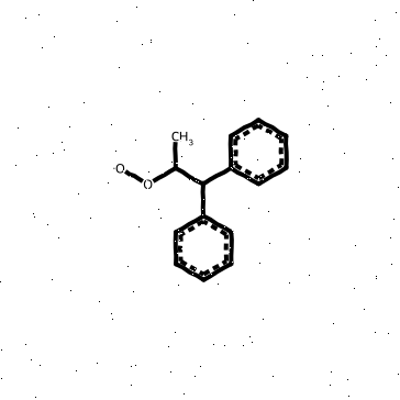 CC(O[O])[C](c1ccccc1)c1ccccc1